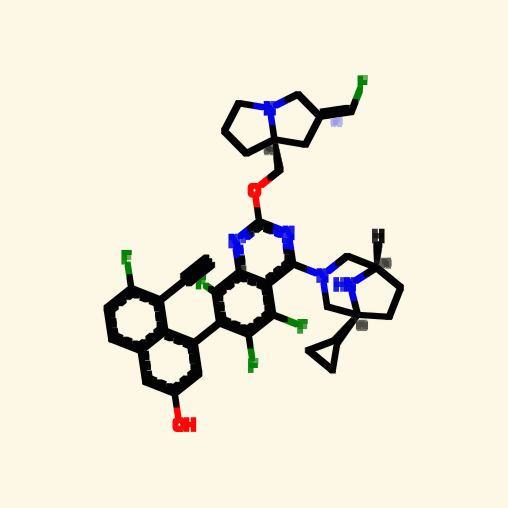 C#Cc1c(F)ccc2cc(O)cc(-c3c(F)c(F)c4c(N5C[C@@H]6CC[C@](C7CC7)(C5)N6)nc(OC[C@@]56CCCN5C/C(=C\F)C6)nc4c3F)c12